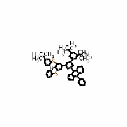 CC(C)(C)c1cc(-c2cc(-c3cc4c5c(c3)Sc3cc(C(C)(C)C)ccc3B5c3ccccc3S4)cc(-c3c4ccccc4c(-c4ccccc4)c4ccccc34)c2)cc(C(C)(C)C)c1